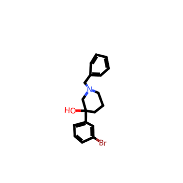 OC1(c2cccc(Br)c2)CCCN(Cc2ccccc2)C1